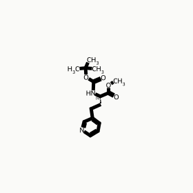 COC(=O)[C@H](CCc1cccnc1)NC(=O)OC(C)(C)C